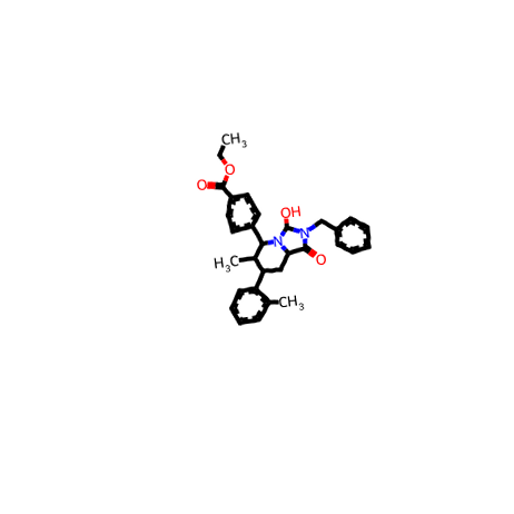 CCOC(=O)c1ccc(C2C(C)C(c3ccccc3C)CC3C(=O)N(Cc4ccccc4)C(O)N32)cc1